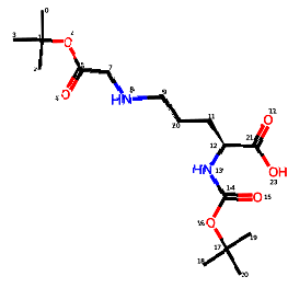 CC(C)(C)OC(=O)CNCCC[C@H](NC(=O)OC(C)(C)C)C(=O)O